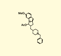 COc1ccc2cc3n(c2c1)C(OC(C)=O)C(CC1CCN(Cc2ccccc2)CC1)C3